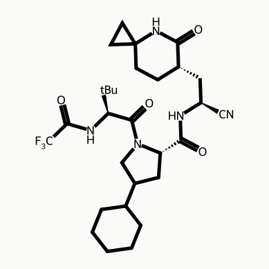 CC(C)(C)[C@H](NC(=O)C(F)(F)F)C(=O)N1CC(C2CCCCC2)C[C@H]1C(=O)N[C@H](C#N)C[C@@H]1CCC2(CC2)NC1=O